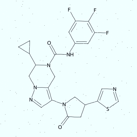 O=C1CC(c2cncs2)CN1c1cnn2c1CN(C(=O)Nc1cc(F)c(F)c(F)c1)C(C1CC1)C2